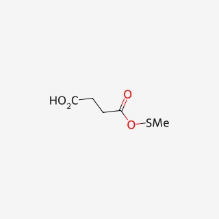 CSOC(=O)CCC(=O)O